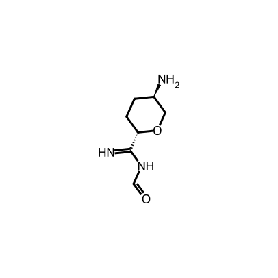 N=C(NC=O)[C@@H]1CC[C@@H](N)CO1